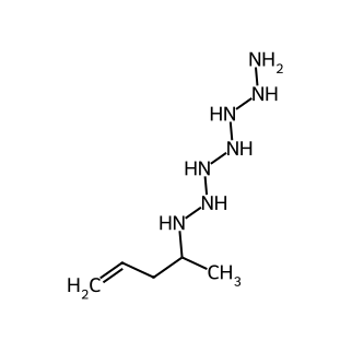 C=CCC(C)NNNNNNN